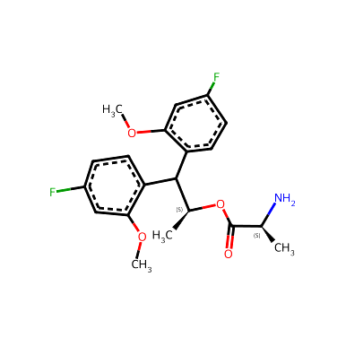 COc1cc(F)ccc1C(c1ccc(F)cc1OC)[C@H](C)OC(=O)[C@H](C)N